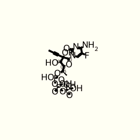 CC#CC1(O)[C@@H](O)[C@@H]([C@@H](C)OP(=O)(O)OP(=O)(O)OP(=O)(O)O)O[C@H]1n1cc(F)c(N)nc1=O